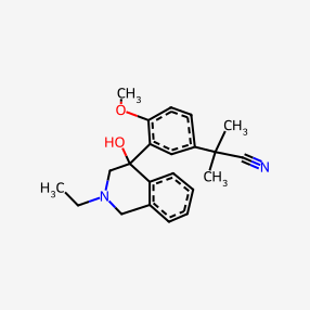 CCN1Cc2ccccc2C(O)(c2cc(C(C)(C)C#N)ccc2OC)C1